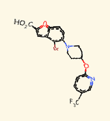 O=C(O)c1cc2c(Br)c(N3CCC(Oc4ccc(C(F)(F)F)cn4)CC3)ccc2o1